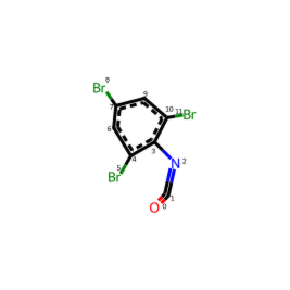 O=C=Nc1c(Br)cc(Br)cc1Br